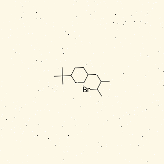 CC(Br)C(C)CC1CCC(C(C)(C)C)CC1